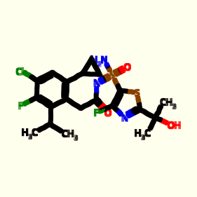 CC(C)c1c(F)c(Cl)cc(C2CC2)c1CC(=O)N=S(N)(=O)c1sc(C(C)(C)O)nc1F